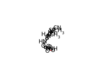 Cc1cc(N2C(=O)C(C)(C)N(Cc3ccc(N4CCC(CN[C@H]5C[C@H](Oc6ccc7c(c6)C(=O)N(C6CCC(=O)NC6=O)C7=O)C5)CC4)nc3)C2=S)ccc1C#N